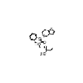 CCC(=O)O.COC(=O)[C@H](c1ccccc1Cl)N1CCc2sccc2C1